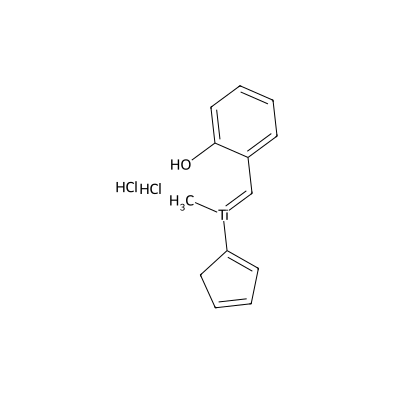 Cl.Cl.[CH3][Ti](=[CH]c1ccccc1O)[C]1=CC=CC1